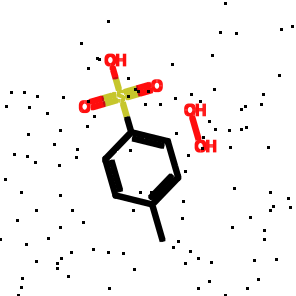 Cc1ccc(S(=O)(=O)O)cc1.OO